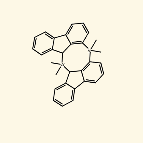 C[Si]1(C)c2cccc3c2[CH](c2ccccc2-3)[Zr]([CH3])([CH3])[CH]2c3ccccc3-c3cccc1c32